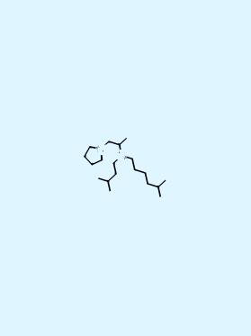 CC(C)CCCCN(CCC(C)C)C(C)CN1CCCC1